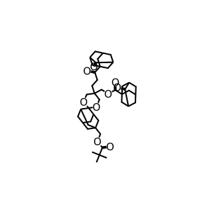 CC(C)(C)C(=O)OCC12CC3CC(C1)C1(OCC(CCC(=O)C45CC6CC(C4)C(=O)C(C6)C5)(COC(=O)C45CC6CC(C4)C(=O)C(C6)C5)CO1)C(C3)C2